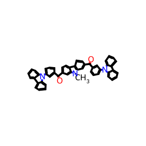 Cn1c2cc(C(=O)c3cccc(-n4c5ccccc5c5ccccc54)c3)ccc2c2ccc(C(=O)c3cccc(-n4c5ccccc5c5ccccc54)c3)cc21